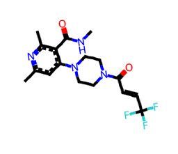 CNC(=O)c1c(N2CCN(C(=O)C=CC(F)(F)F)CC2)cc(C)nc1C